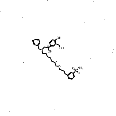 NS(=O)(=O)c1cccc(CCCOCCCCCCCN(Cc2ccccc2)C[C@H](O)c2ccc(O)c(CO)c2)c1